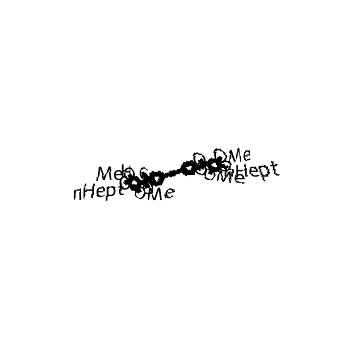 CCCCCCCOc1cc(OC)c(C(=O)Oc2ccc(C#Cc3ccc(N(C)C(=O)c4cc(OC)c(OCCCCCCC)cc4OC)cc3)cc2)cc1OC